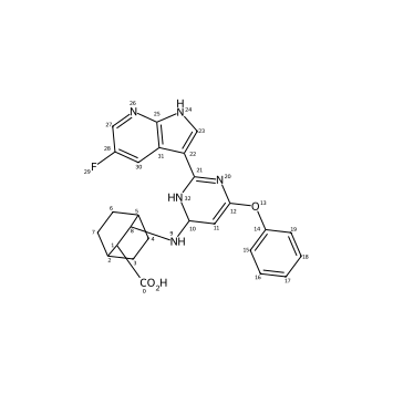 O=C(O)C1C2CCC(CC2)C1NC1C=C(Oc2ccccc2)N=C(c2c[nH]c3ncc(F)cc23)N1